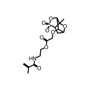 C=C(C)C(=O)NCCOC(=O)COC1C2CC3C(C)(O2)C1OS3(=O)=O